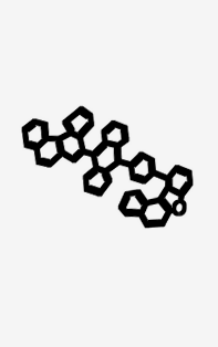 c1ccc2c(c1)ccc1cc(-c3c4ccccc4c(-c4ccc(-c5cccc6oc7ccc8ccccc8c7c56)cc4)c4ccccc34)c3ccccc3c12